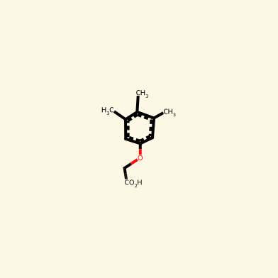 Cc1cc(OCC(=O)O)cc(C)c1C